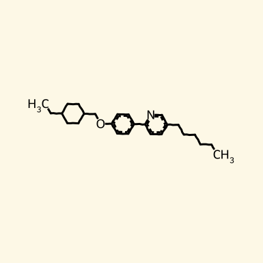 CCCCCCc1ccc(-c2ccc(OCC3CCC(CC)CC3)cc2)nc1